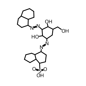 O=S(=O)(O)C1CCC(N=NC2CC(CO)C(O)C(N=NC3CCCC4CCCCC43)C2O)C2CCCCC21